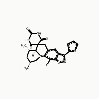 C[C@H]1CN2c3c(cc4c(-c5ccco5)noc4c3F)CC3(C(=O)NC(=O)NC3=O)[C@@H]2[C@@H](C)O1